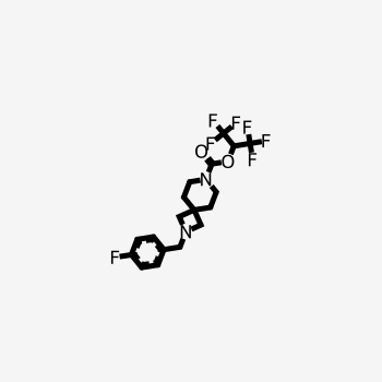 O=C(OC(C(F)(F)F)C(F)(F)F)N1CCC2(CC1)CN(Cc1ccc(F)cc1)C2